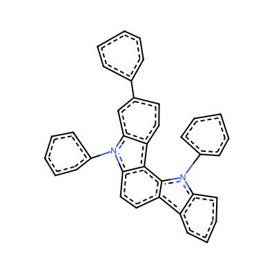 c1ccc(-c2ccc3c4c(ccc5c6ccccc6n(-c6ccccc6)c54)n(-c4ccccc4)c3c2)cc1